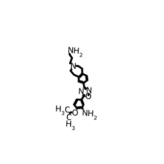 CC(C)Oc1ccc(-c2nc(-c3ccc4c(c3)CCN(CCCN)CC4)no2)cc1N